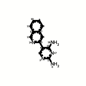 Nc1ncc(-c2cc3ccccc3cn2)c(N)n1